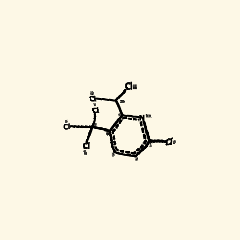 Clc1ccc(C(Cl)(Cl)Cl)c(C(Cl)Cl)n1